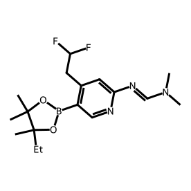 CCC1(C)OB(c2cnc(/N=C/N(C)C)cc2CC(F)F)OC1(C)C